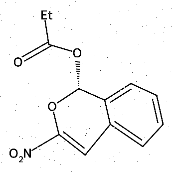 CCC(=O)O[C@H]1OC([N+](=O)[O-])=Cc2ccccc21